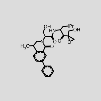 CC(C)CC(NC(=O)[C@H](CO)N1CC(C)c2ccc(-c3ccccc3)cc2C1=O)C(=O)C1(CO)CO1